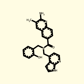 Cc1cc2cc(C(=O)N(Cc3ccccc3O)Cc3ccnc4[nH]ccc34)ccc2nc1N